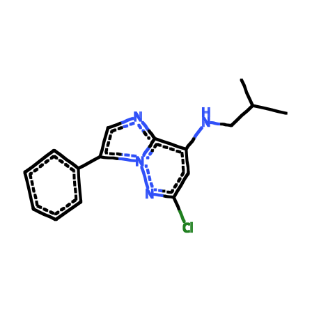 CC(C)CNc1cc(Cl)nn2c(-c3ccccc3)cnc12